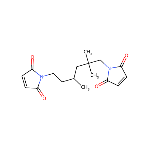 CC(CCN1C(=O)C=CC1=O)CC(C)(C)CN1C(=O)C=CC1=O